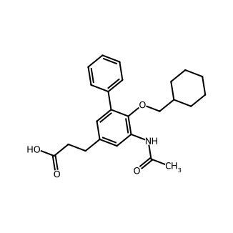 CC(=O)Nc1cc(CCC(=O)O)cc(-c2ccccc2)c1OCC1CCCCC1